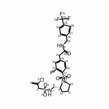 C=C(Cl)CS(=O)(=O)NC[C@H]1CCCN1S(=O)(=O)c1ccc(CC(=O)NCc2ccc(C(F)(F)F)cc2)cc1F